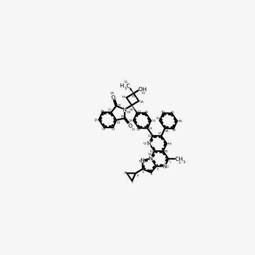 Cc1nc2cc(C3CC3)nn2c2nc(-c3ccc([C@]4(N5C(=O)c6ccccc6C5=O)C[C@@](C)(O)C4)cc3)c(-c3ccccc3)cc12